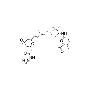 CC(=O)OC(C)/C=C\C(=O)N[C@@H]1C[C@H](C)[C@H](C/C=C(C)/C=C/[C@@H]2C[C@]3(CO3)C[C@@H](CC(=O)NN)O2)O[C@@H]1C